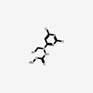 CC(C)CN(NC(=O)OC(C)(C)C)c1cc(Cl)nc(Cl)n1